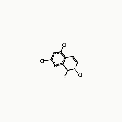 FC1c2nc(Cl)cc(Cl)c2C=CN1Cl